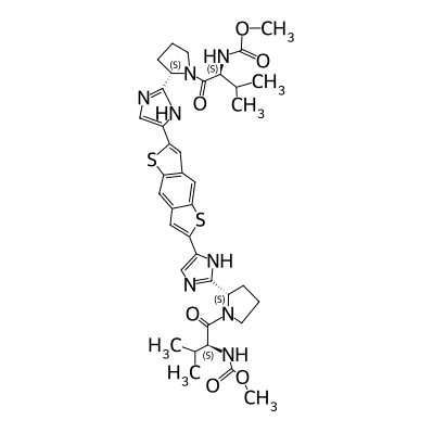 COC(=O)N[C@H](C(=O)N1CCC[C@H]1c1ncc(-c2cc3cc4sc(-c5cnc([C@@H]6CCCN6C(=O)[C@@H](NC(=O)OC)C(C)C)[nH]5)cc4cc3s2)[nH]1)C(C)C